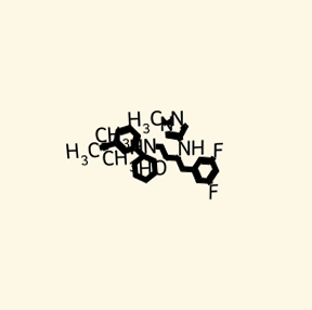 Cn1cc(NC(Cc2cc(F)cc(F)c2)C(O)CNC2(c3cccc(C(C)(C)C)c3)CCCCC2)cn1